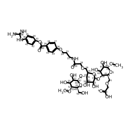 CO[C@@H]1O[C@@H](COCC(=O)O)[C@@H](O[C@@H]2OC(COCC(=O)NCCCOc3ccc(C(=O)Oc4ccc(NC(=N)N)cc4)cc3)[C@@H](O[C@@H]3O[C@@H](CO)[C@@H](OC)C(O)C3O)[C@H](O)C2O)C(O)C1O